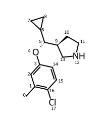 Cc1cc(O[C@H](C2CC2)[C@H]2CCNC2)ccc1Cl